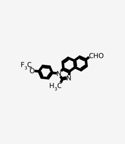 Cc1nc2c3ccc(C=O)cc3ccc2n1-c1ccc(OC(F)(F)F)cc1